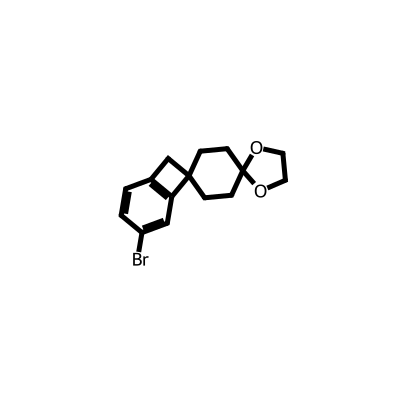 Brc1ccc2c(c1)C1(CCC3(CC1)OCCO3)C2